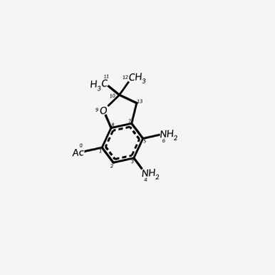 CC(=O)c1cc(N)c(N)c2c1OC(C)(C)C2